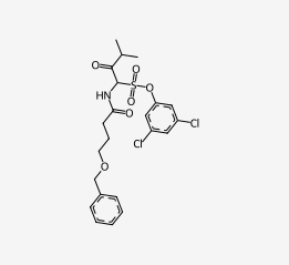 CC(C)C(=O)C(NC(=O)CCCOCc1ccccc1)S(=O)(=O)Oc1cc(Cl)cc(Cl)c1